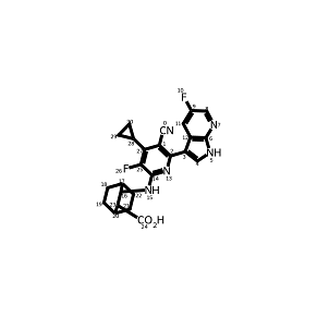 N#Cc1c(-c2c[nH]c3ncc(F)cc23)nc(NC2C3CCC(CC3)C2C(=O)O)c(F)c1C1CC1